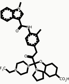 Cc1cc(CC(=O)C(OC2CCC(C(=O)O)CC2)(N2CCCC2)N2CCN(CC(F)(F)F)CC2)ccc1NC(=O)c1cn(C)c2ccccc12